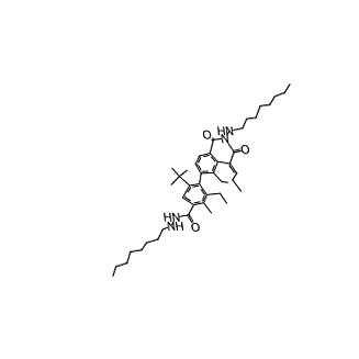 CC/C=C1/C(=O)N(NCCCCCCCC)C(=O)c2ccc(-c3c(C(C)(C)C)cc(C(=O)NNCCCCCCCC)c(C)c3CC)c(CC)c21